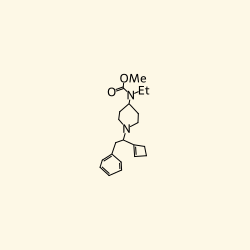 CCN(C(=O)OC)C1CCN(C(Cc2ccccc2)C2=CCC2)CC1